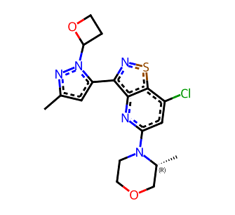 Cc1cc(-c2nsc3c(Cl)cc(N4CCOC[C@H]4C)nc23)n(C2CCO2)n1